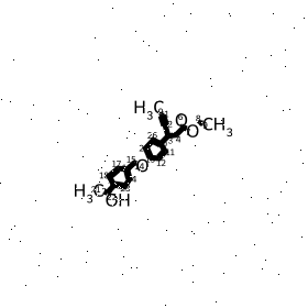 CC#CC(CC(=O)OCC)c1ccc(OCc2ccc(C(C)O)cc2)cc1